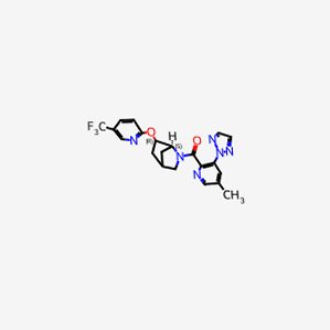 Cc1cnc(C(=O)N2CC3C[C@@H](Oc4ccc(C(F)(F)F)cn4)[C@@H]2C3)c(-n2nccn2)c1